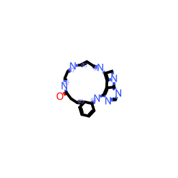 O=C1C/C=c2\cccc\c2=N/c2ncnc3c2C2=C(CN23)/N=C/C=C/N=C\C=N/1